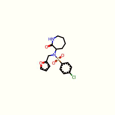 O=C1NCCCCC1N(Cc1ccco1)S(=O)(=O)c1ccc(Cl)cc1